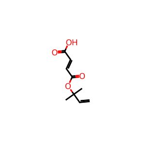 C=CC(C)(C)OC(=O)C=CC(=O)O